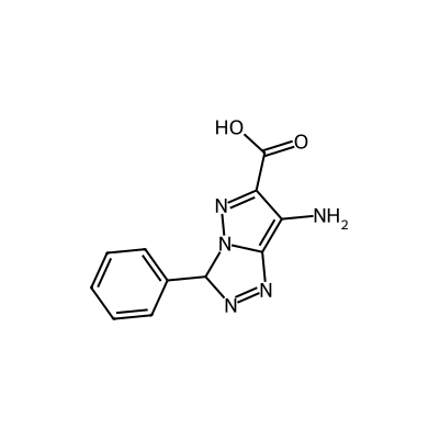 Nc1c(C(=O)O)nn2c1N=NC2c1ccccc1